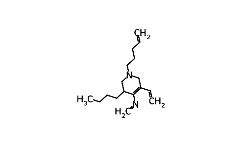 C=CCCCN1CC(C=C)=C(N=C)C(CCCC)C1